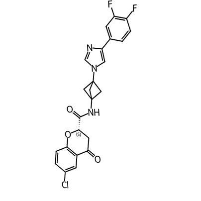 O=C1C[C@@H](C(=O)NC23CC(n4cnc(-c5ccc(F)c(F)c5)c4)(C2)C3)Oc2ccc(Cl)cc21